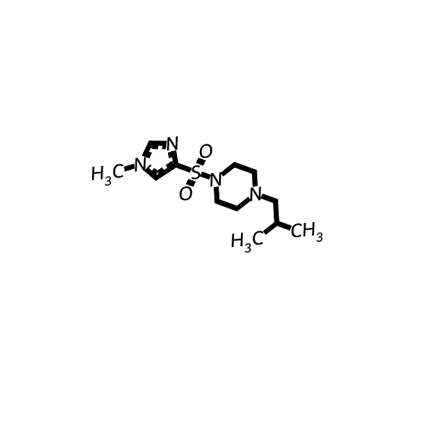 CC(C)CN1CCN(S(=O)(=O)c2cn(C)cn2)CC1